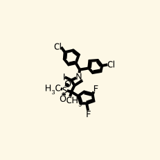 CC(c1cc(F)cc(F)c1)(C1CN(C(c2ccc(Cl)cc2)c2ccc(Cl)cc2)C1I)S(C)(=O)=O